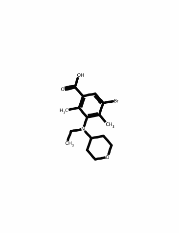 CCN(c1c(C)c(Br)cc(C(=O)O)c1C)C1CCOCC1